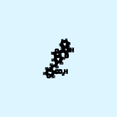 O=C1Nc2ccccc2C1=C1OCc2cc(CCN3CCOCC3C(=O)O)ccc21